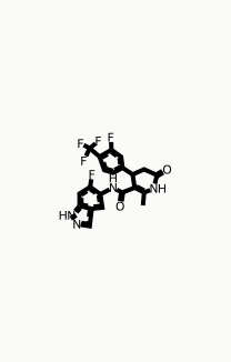 CC1=C(C(=O)Nc2cc3cn[nH]c3cc2F)C(c2ccc(C(F)(F)F)c(F)c2)CC(=O)N1